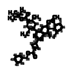 COc1cccc(F)c1-c1c(Cl)cc2c(N3C[C@@H](C)N(C(=O)OC(C)(C)C)C[C@@H]3C)nc(C3CN(C(=O)OCc4ccccc4)C3)nc2c1F